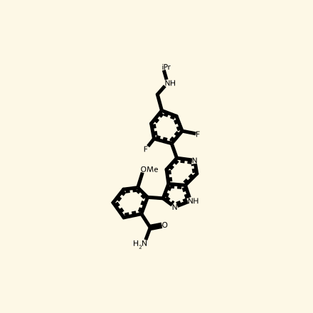 COc1cccc(C(N)=O)c1-c1n[nH]c2cnc(-c3c(F)cc(CNC(C)C)cc3F)cc12